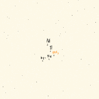 P.[Fe].[H+].[Ni].[Ti]